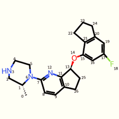 C[C@@H]1CNCCN1c1ccc2c(n1)[C@@H](Oc1cc(F)cc3c1CCC3)CC2